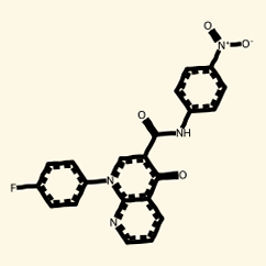 O=C(Nc1ccc([N+](=O)[O-])cc1)c1cn(-c2ccc(F)cc2)c2ncccc2c1=O